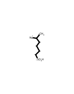 C[CH]([Na])CCCCS(=O)(=O)O